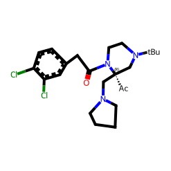 CC(=O)[C@@]1(CN2CCCC2)CN(C(C)(C)C)CCN1C(=O)Cc1ccc(Cl)c(Cl)c1